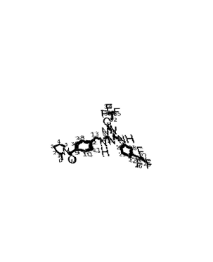 CC1CCCCN1C(=O)c1ccc(CNc2nc(Nc3cccc(C(F)(F)F)c3)nc(OCC(F)(F)F)n2)cc1